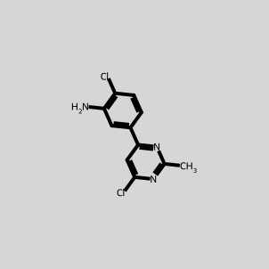 Cc1nc(Cl)cc(-c2ccc(Cl)c(N)c2)n1